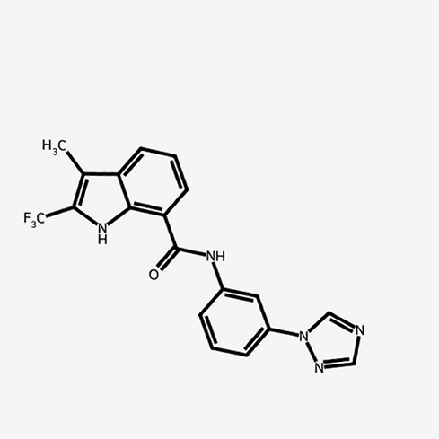 Cc1c(C(F)(F)F)[nH]c2c(C(=O)Nc3cccc(-n4cncn4)c3)cccc12